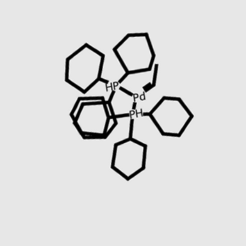 C[CH]=[Pd]([PH](C1CCCCC1)(C1CCCCC1)C1CCCCC1)[PH](C1CCCCC1)(C1CCCCC1)C1CCCCC1